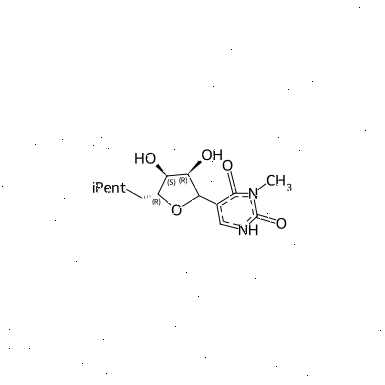 CCCC(C)C[C@H]1OC(c2c[nH]c(=O)n(C)c2=O)[C@H](O)[C@@H]1O